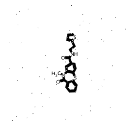 CN1C(=O)c2ccccc2Sc2ccc(C(=O)NCCc3cccs3)cc21